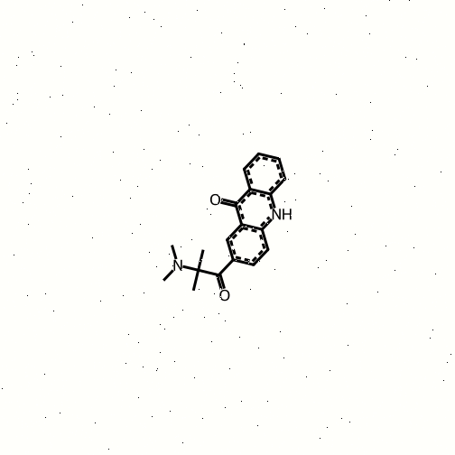 CN(C)C(C)(C)C(=O)c1ccc2[nH]c3ccccc3c(=O)c2c1